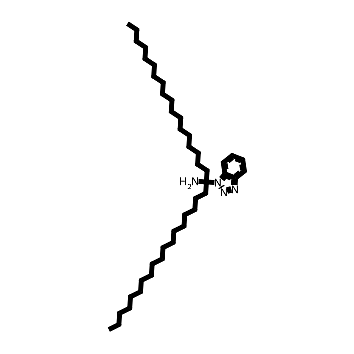 CCCCCCCCCCCCCCCCCCC(N)(CCCCCCCCCCCCCCCCCC)n1nnc2ccccc21